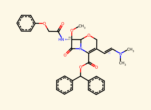 CO[C@]1(NC(=O)COc2ccccc2)C(=O)N2C(C(=O)OC(c3ccccc3)c3ccccc3)=C(/C=C/N(C)C)COC21